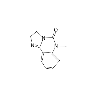 CN1C(=O)N2CCN=C2c2ccccc21